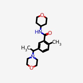 Cc1ccc(C(C)N2CCOCC2)cc1C(=O)NC1CCOCC1